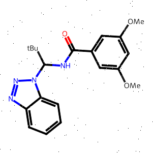 COc1cc(OC)cc(C(=O)NC(n2nnc3ccccc32)C(C)(C)C)c1